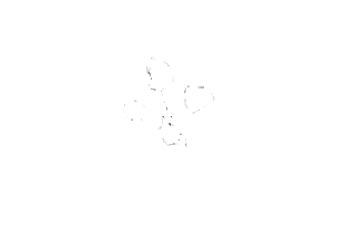 [CH]1CC1c1cn(C(c2ccccc2)(c2ccccc2)c2ccccc2)cn1